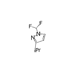 CC(C)c1ccn(C(F)F)n1